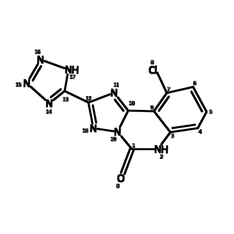 O=c1[nH]c2cccc(Cl)c2c2nc(-c3nnn[nH]3)nn12